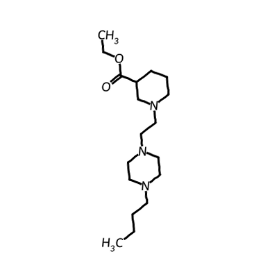 CCCCN1CCN(CCN2CCCC(C(=O)OCC)C2)CC1